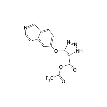 O=C(OC(=O)C(F)(F)F)c1[nH]nnc1Oc1ccc2cnccc2c1